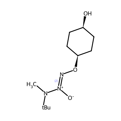 CN(/[N+]([O-])=N/O[C@H]1CC[C@@H](O)CC1)C(C)(C)C